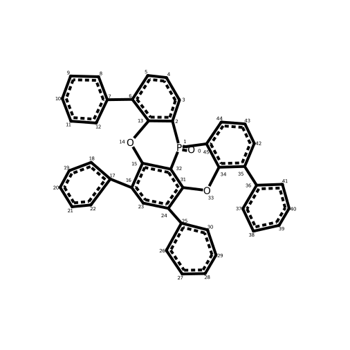 O=P12c3cccc(-c4ccccc4)c3Oc3c(-c4ccccc4)cc(-c4ccccc4)c(c31)Oc1c(-c3ccccc3)cccc12